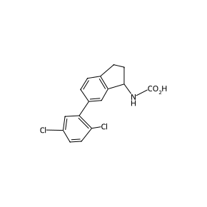 O=C(O)NC1CCc2ccc(-c3cc(Cl)ccc3Cl)cc21